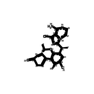 CC(C)Oc1c([C@H](C)c2nc(Cl)c3c(N)nccn23)cc(Cl)c(F)c1C1=CCC(=O)C=C1